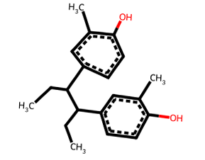 CCC(c1ccc(O)c(C)c1)C(CC)c1ccc(O)c(C)c1